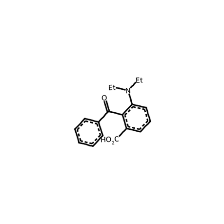 CCN(CC)c1cccc(C(=O)O)c1C(=O)c1ccccc1